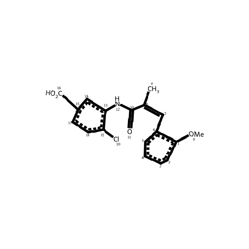 COc1ccccc1C=C(C)C(=O)Nc1cc(C(=O)O)ccc1Cl